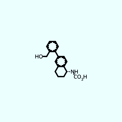 O=C(O)N[C@@H]1CCCc2cc(-c3ccccc3CO)ccc21